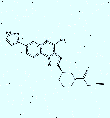 C#CCC(=O)N1CCC[C@@H](c2nc3c(N)nc4cc(-c5cc[nH]n5)ccc4c3[nH]2)C1